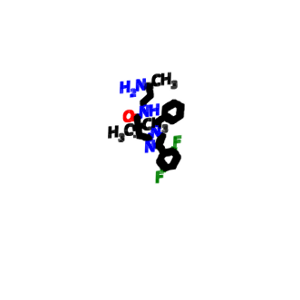 C[C@@H](N)CCNC(=O)C(C)(C)[CH]c1nc(-c2cc(F)ccc2F)cn1Cc1ccccc1